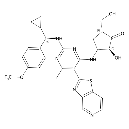 Cc1nc(N[C@@H](c2ccc(OC(F)(F)F)cc2)C2CC2)nc(NC2C[C@H](CO)C(=O)[C@H]2O)c1-c1nc2cnccc2s1